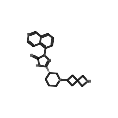 O=c1[nH]c([C@H]2CCCN(C3CC4(CNC4)C3)C2)nn1-c1cccc2cnccc12